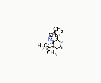 C=C/C=C1/CCCC(C(C)C)/C1=N/C